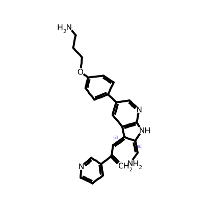 C=C(/C=c1\c(=C/N)[nH]c2ncc(-c3ccc(OCCCN)cc3)cc12)c1cccnc1